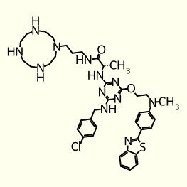 C[C@H](Nc1nc(NCc2ccc(Cl)cc2)nc(OCCN(C)c2ccc(-c3nc4ccccc4s3)cc2)n1)C(=O)NCCCN1CCNCCNCCNCC1